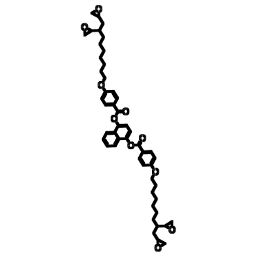 O=C(Oc1ccc(OC(=O)c2ccc(OCCCCCCCC(CC3CO3)C3CO3)cc2)c2ccccc12)c1ccc(OCCCCCCCC(CC2CO2)C2CO2)cc1